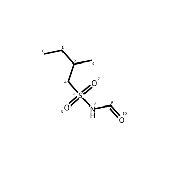 CCC(C)CS(=O)(=O)NC=O